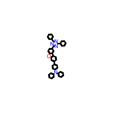 c1ccc(-c2nc(-c3ccccc3)nc(-c3ccc4oc5cc(-c6ccc(N(c7ccccc7)c7ccccc7)cc6)ccc5c4c3)n2)cc1